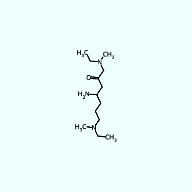 CCN(C)CCCC(N)CC(=O)CN(C)CC